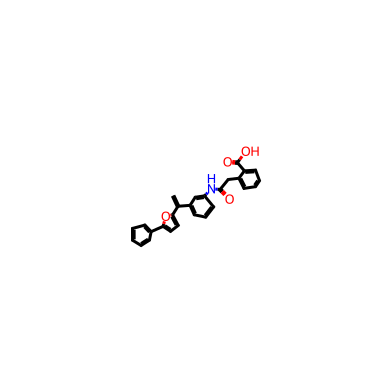 C=C(c1cccc(NC(=O)Cc2ccccc2C(=O)O)c1)c1ccc(-c2ccccc2)o1